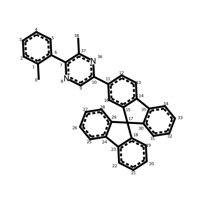 Cc1ccccc1-c1ncc(-c2ccc3c(c2)C2(c4ccccc4-c4ccccc42)c2ccccc2-3)nc1C